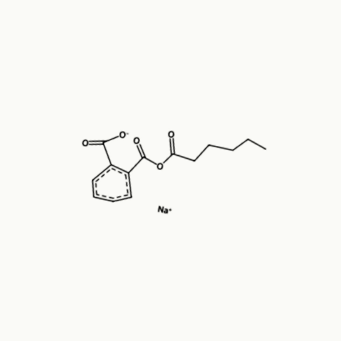 CCCCCC(=O)OC(=O)c1ccccc1C(=O)[O-].[Na+]